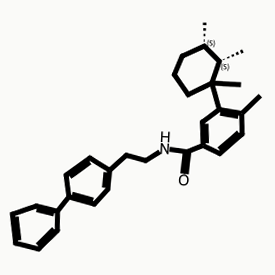 Cc1ccc(C(=O)NCCc2ccc(-c3ccccc3)cc2)cc1C1(C)CCC[C@H](C)[C@@H]1C